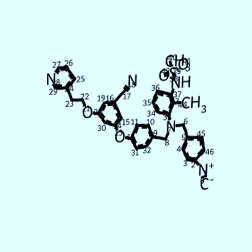 [C-]#[N+]c1ccc(CN(Cc2ccc(Oc3cc(C#N)cc(OCCc4cccnc4)c3)cc2)c2cccc(NS(C)(=O)=O)c2C)cc1